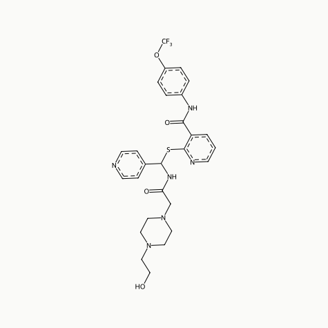 O=C(CN1CCN(CCO)CC1)NC(Sc1ncccc1C(=O)Nc1ccc(OC(F)(F)F)cc1)c1ccncc1